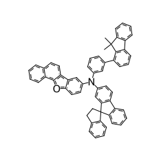 CC1(C)c2ccccc2-c2cccc(-c3cccc(N(c4ccc5c(c4)C4(CCc6ccccc64)c4ccccc4-5)c4ccc5oc6c7ccccc7ccc6c5c4)c3)c21